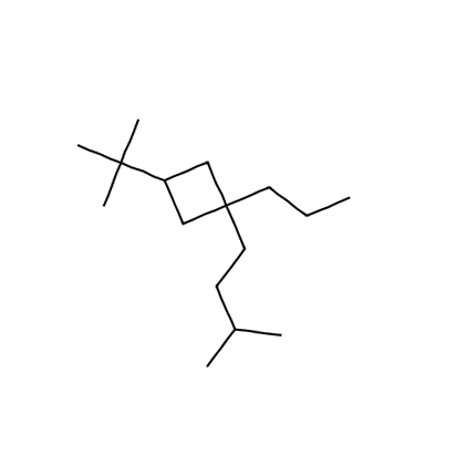 CCCC1(CCC(C)C)CC(C(C)(C)C)C1